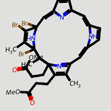 COC(=O)CCC1=C(C)C2=NC1(CCC(=O)OC)C(C)C1(Br)NC(Br)(C=C3C=CC(=N3)C=c3ccc([nH]3)=C2)C(Br)=C1C